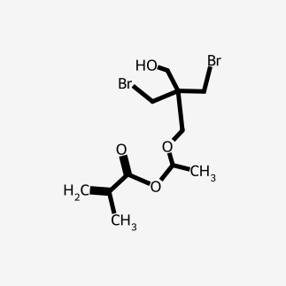 C=C(C)C(=O)OC(C)OCC(CO)(CBr)CBr